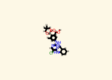 COC(=O)c1cc(Nc2ncc(Cl)c(NC3CCCCC3C#N)n2)cc(C)c1B1OCC(C)(C)CO1